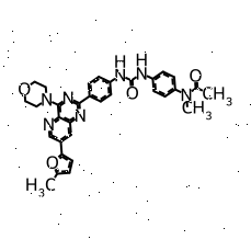 CC(=O)N(C)c1ccc(NC(=O)Nc2ccc(-c3nc(N4CCOCC4)c4ncc(-c5ccc(C)o5)cc4n3)cc2)cc1